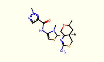 C[C@H]1C[C@H]2CSC(N)=N[C@@]2(C2SC=C(NC(=O)c3cnn(C)n3)N2C)CO1